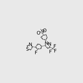 CS(=O)(=O)c1ccc(-n2nc(C(F)(F)F)cc2-c2ccc(-c3cscn3)c(F)c2)cc1